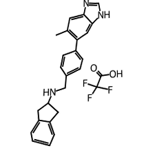 Cc1cc2nc[nH]c2cc1-c1ccc(CNC2Cc3ccccc3C2)cc1.O=C(O)C(F)(F)F